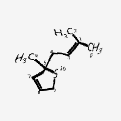 CC(C)=CCC1(C)[C]=CCS1